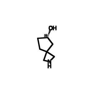 O[C@H]1CCC2(CNC2)C1